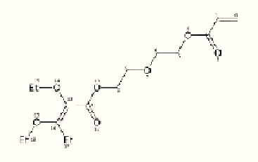 C=CC(=O)OCCOCCOC(=O)C(OCC)=C(CC)OCC